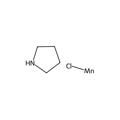 C1CCNC1.[Cl][Mn]